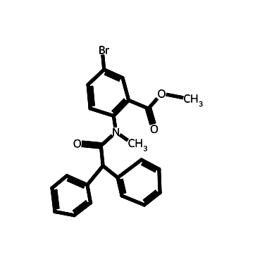 COC(=O)c1cc(Br)ccc1N(C)C(=O)C(c1ccccc1)c1ccccc1